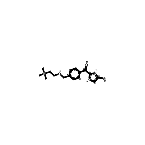 C[Si](C)(C)CCOCc1ccc(C(=O)c2nc(Br)cs2)cc1